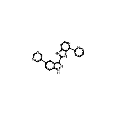 c1ccc(-c2nccc3[nH]c(-c4n[nH]c5ccc(-c6cncnc6)cc45)nc23)nc1